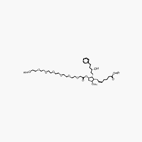 COCCOCCOCCOCCOCCOCCOCC(=O)O[C@@H]1C[C@H](OC(C)=O)[C@H](C/C=C\CCCC(=O)OC(C)C)[C@H]1CC[C@@H](O)CCc1ccccc1